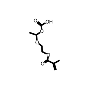 C=C(C)C(=O)OCCOC(C)OC(=O)O